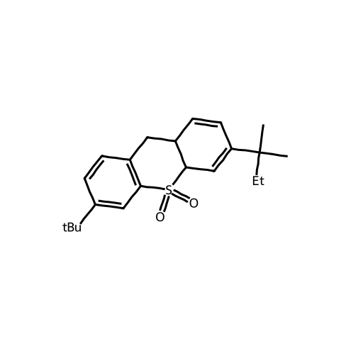 CCC(C)(C)C1=CC2C(C=C1)Cc1ccc(C(C)(C)C)cc1S2(=O)=O